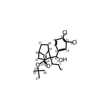 CCCC1(C(O)c2ccc(Cl)c(Cl)c2)CCC2CCC1N2C(=O)OC(C)(C)C